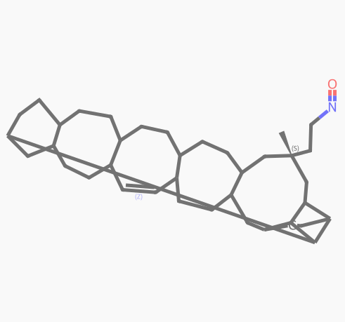 C[C@]1(CCN=O)CC2CCC3CCC4CCC5CCC6CC5CCC4/C=C\C3CCC2CC2CCC3C(C1)C2C63